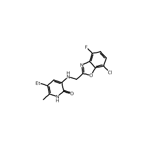 CCc1cc(NCc2nc3c(F)ccc(Cl)c3o2)c(=O)[nH]c1C